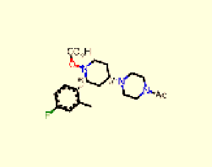 CC(=O)N1CCN([C@H]2CCN(OC(=O)O)[C@@H](c3ccc(F)cc3C)C2)CC1